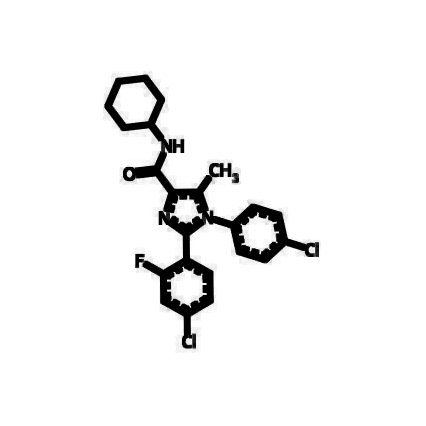 Cc1c(C(=O)NC2CCCCC2)nc(-c2ccc(Cl)cc2F)n1-c1ccc(Cl)cc1